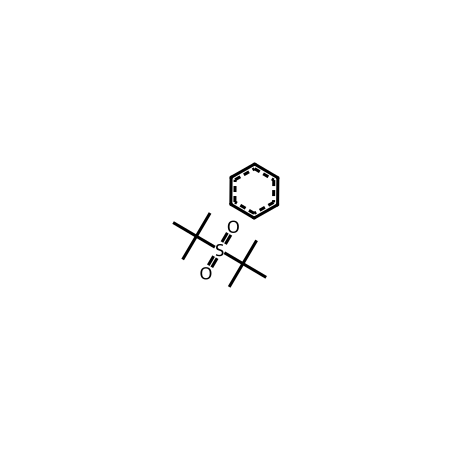 CC(C)(C)S(=O)(=O)C(C)(C)C.c1ccccc1